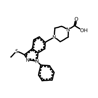 CSc1nn(-c2ccccc2)c2cc(N3CCN(C(=O)O)CC3)ccc12